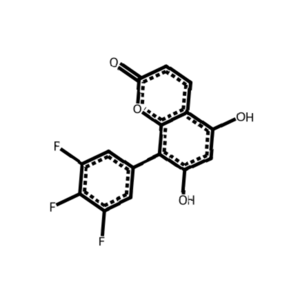 O=c1ccc2c(O)cc(O)c(-c3cc(F)c(F)c(F)c3)c2o1